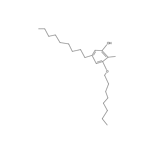 CCCCCCCCCc1cc(O)c(C)c(OCCCCCCCC)c1